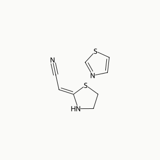 N#CC=C1NCCS1.c1cscn1